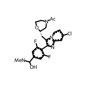 CNC(O)c1cc(F)c(-c2nc3cc(Cl)ccn3c2C[C@H]2CN(C(C)=O)CCO2)c(F)c1